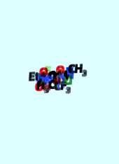 CCn1c(CO)nn(-c2nc(O[C@@H](C)C(F)(F)F)c(C(=O)Nc3cn(C)nc3Cl)cc2F)c1=O